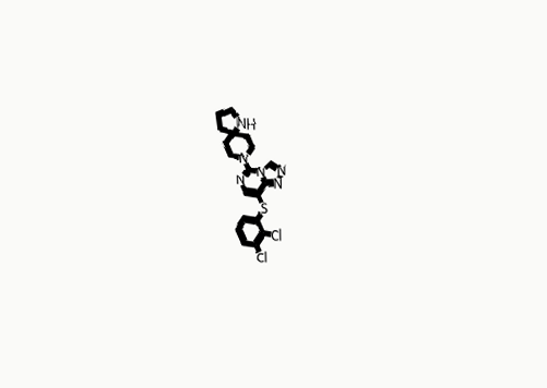 Clc1cccc(Sc2cnc(N3CCC4(CCCN4)CC3)n3cnnc23)c1Cl